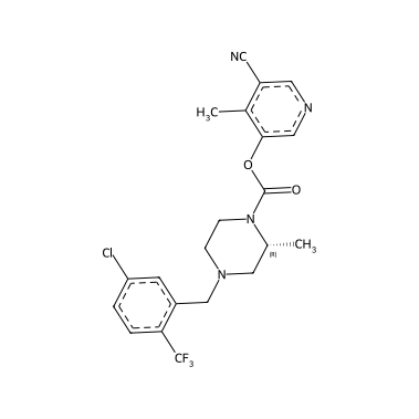 Cc1c(C#N)cncc1OC(=O)N1CCN(Cc2cc(Cl)ccc2C(F)(F)F)C[C@H]1C